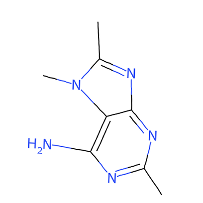 Cc1nc(N)c2c(n1)nc(C)n2C